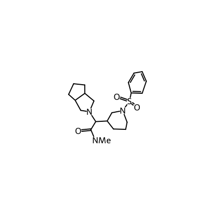 CNC(=O)C(C1CCCN(S(=O)(=O)c2ccccc2)C1)N1CC2CCCC2C1